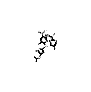 CC(C)Oc1cc(Nc2nc(N[C@@H](C)c3ncc(F)cn3)c([N+](=O)[O-])cc2F)n[nH]1